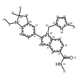 CCN1c2ncc(-c3nc4cc(C(=O)NC)ccc4n3Cc3ccn(C)n3)cc2CC1(C)C